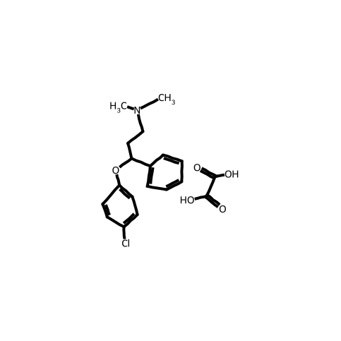 CN(C)CCC(Oc1ccc(Cl)cc1)c1ccccc1.O=C(O)C(=O)O